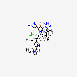 C=Nc1c(/C(N)=N\C)c(=O)c(-c2cn[nH]c2)cn1C(C)c1cc(Cl)c(C)c(-c2ccc(C(=O)N(C)C)nc2)c1OC